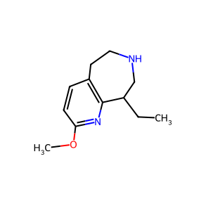 CCC1CNCCc2ccc(OC)nc21